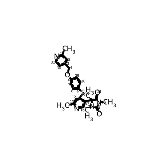 Cc1cc(COc2ccc(Sc3cc(C)ncc3C3(C)C(=O)N(C)C(=O)N3C)cc2)ccn1